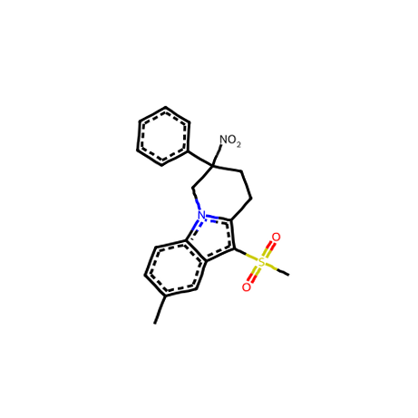 Cc1ccc2c(c1)c(S(C)(=O)=O)c1n2CC(c2ccccc2)([N+](=O)[O-])CC1